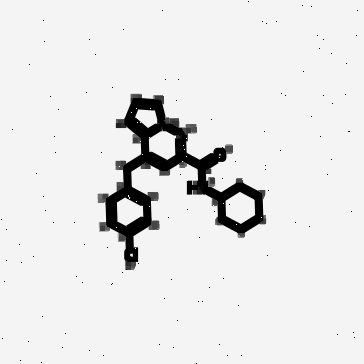 O=C(NC1CCCCC1)c1cc(Cc2ccc(Cl)cc2)c2cccn2n1